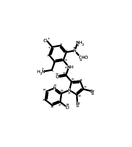 NCc1cc(Cl)cc(N(N)C=O)c1NC(=O)c1cc(Br)c(Br)n1-c1ncccc1Cl